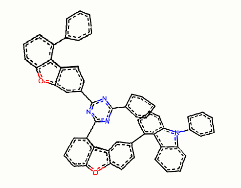 c1ccc(-c2nc(-c3ccc4c(c3)oc3cccc(-c5ccccc5)c34)nc(-c3cccc4oc5ccc(-c6cccc7c6c6ccccc6n7-c6ccccc6)cc5c34)n2)cc1